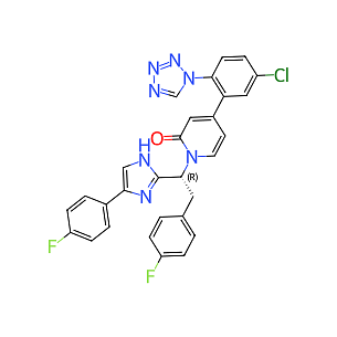 O=c1cc(-c2cc(Cl)ccc2-n2cnnn2)ccn1[C@H](Cc1ccc(F)cc1)c1nc(-c2ccc(F)cc2)c[nH]1